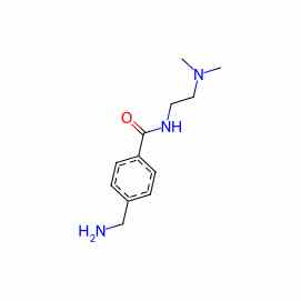 CN(C)CCNC(=O)c1ccc(CN)cc1